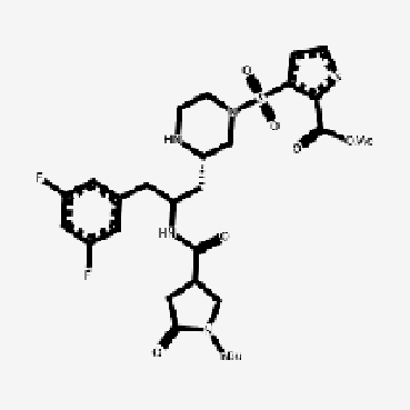 CCCCN1CC(C(=O)NC(Cc2cc(F)cc(F)c2)C[C@H]2CN(S(=O)(=O)c3ccsc3C(=O)OC)CCN2)CC1=O